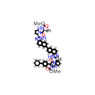 COC(=O)N[C@H](C(=O)N1CCC[C@H]1c1nc2ccc3cc(-c4ccc5c(ccc6nc([C@@H]7[C@@H]8CC[C@@H](C8)N7C(=O)[C@H](NC(=O)OC)c7ccc(C8CCCCC8)cc7)[nH]c65)c4)ccc3c2[nH]1)C(C)C